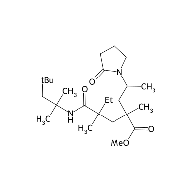 CCC(C)(CC(C)(CC(C)N1CCCC1=O)C(=O)OC)C(=O)NC(C)(C)CC(C)(C)C